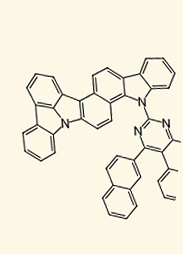 c1ccc2cc(-c3nc(-n4c5ccccc5c5ccc6c(ccc7c6c6cccc8c9ccccc9n7c86)c54)nc4ccc5ccccc5c34)ccc2c1